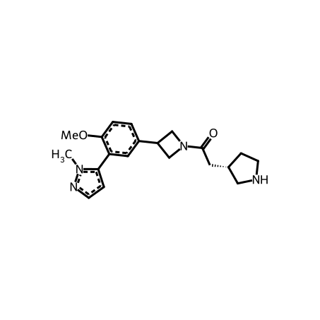 COc1ccc(C2CN(C(=O)C[C@@H]3CCNC3)C2)cc1-c1ccnn1C